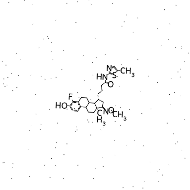 CO/N=C1\C[C@@H](CCCC(=O)Nc2ncc(C)s2)C2C3CCc4c(ccc(O)c4F)C3CC[C@]12C